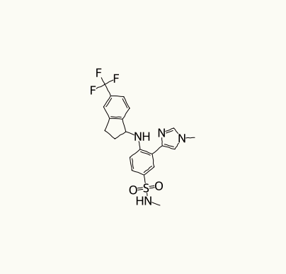 CNS(=O)(=O)c1ccc(NC2CCc3cc(C(F)(F)F)ccc32)c(-c2cn(C)cn2)c1